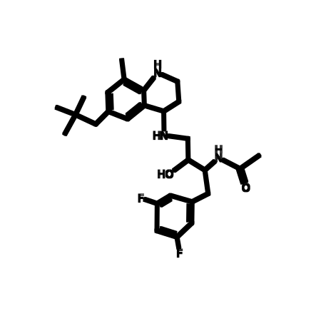 CC(=O)NC(Cc1cc(F)cc(F)c1)C(O)CNC1CCNc2c(C)cc(CC(C)(C)C)cc21